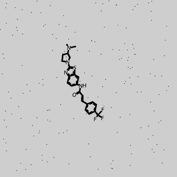 CN(C)C1CCN(c2nc3ccc(NC(=O)C=Cc4ccc(C(F)(F)F)cc4)cc3s2)C1